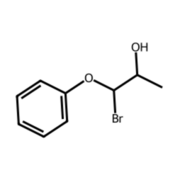 CC(O)C(Br)Oc1ccccc1